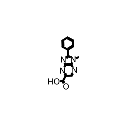 Cn1c(-c2ccccc2)nc2nc(C(=O)O)cnc21